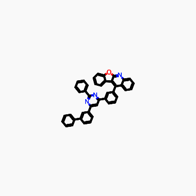 c1ccc(-c2cccc(-c3cc(-c4cccc(-c5c6ccccc6nc6oc7ccccc7c56)c4)nc(-c4ccccc4)n3)c2)cc1